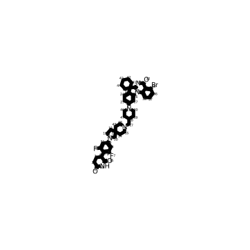 O=C1CCC(c2c(F)cc(N3CCC4(CCN(CC5CCN(c6ccc7c(c6)-n6c(nc(=O)c8c(Br)cccc86)C76CCCCC6)CC5)CC4)C3)cc2F)C(=O)N1